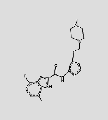 Cc1ccc(F)c2cc(C(=O)Nc3cccc(CCN4CCN(C)CC4)c3)[nH]c12